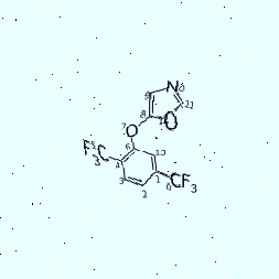 FC(F)(F)c1ccc(C(F)(F)F)c(Oc2cn[c]o2)c1